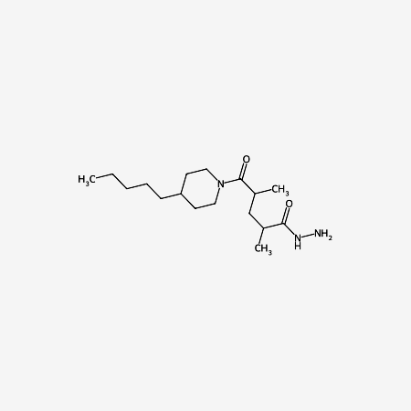 CCCCCC1CCN(C(=O)C(C)CC(C)C(=O)NN)CC1